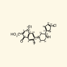 CCn1cc(C(=O)O)c(=O)c2cc(F)c(N3CCNC(c4ccc(Cl)s4)C3)cc21